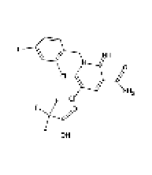 N=c1c(C(N)=O)cc(Cl)cn1Cc1ccc(Cl)cc1Cl.O=C(O)C(F)(F)F